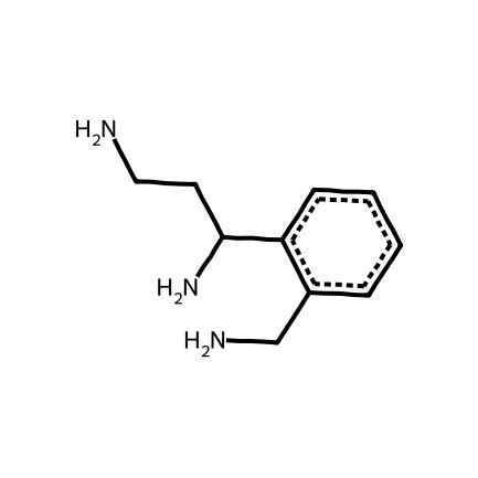 NCCC(N)c1ccccc1CN